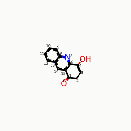 O=C1CC=C(O)c2nc3ccccc3cc21